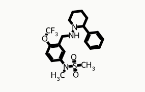 CN(c1ccc(OC(F)(F)F)c(CNN2CCCCC2c2ccccc2)c1)S(C)(=O)=O